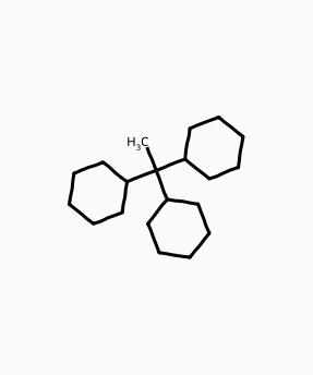 CC(C1CCCCC1)(C1CCCCC1)C1CCCCC1